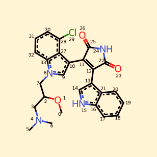 COC(CN(C)C)Cn1cc(C2=C(c3c[nH]c4ccccc34)C(=O)NC2=O)c2c(Cl)cccc21